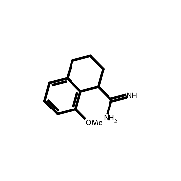 COc1cccc2c1C(C(=N)N)CCC2